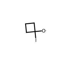 [O]C1(I)CCC1